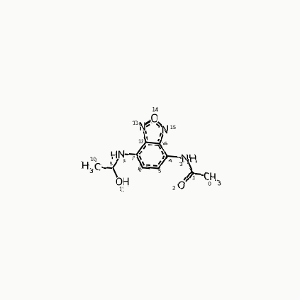 CC(=O)Nc1ccc(NC(C)O)c2nonc12